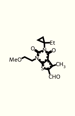 CCC1(n2c(=O)c3c(C)c(C=O)sc3n(CCOC)c2=O)CC1